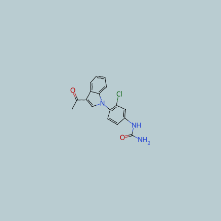 CC(=O)c1cn(-c2ccc(NC(N)=O)cc2Cl)c2ccccc12